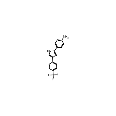 Nc1ccc(-c2nc(-c3ccc(C(F)(F)F)cc3)c[nH]2)cc1